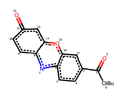 CC(C)COC(=O)c1ccc2nc3ccc(=O)cc-3oc2c1